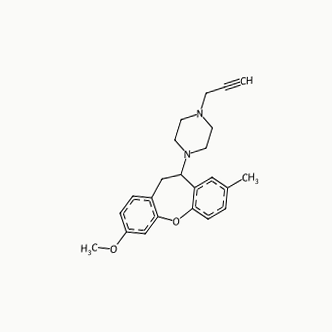 C#CCN1CCN(C2Cc3ccc(OC)cc3Oc3ccc(C)cc32)CC1